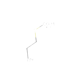 CCCCCSC(=O)O